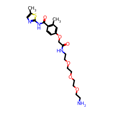 Cc1cnc(NC(=O)c2ccc(OCC(=O)NCCOCCOCCOCCN)cc2C)s1